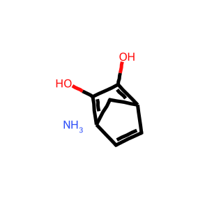 N.OC1=C2C=CC(=C1O)C2